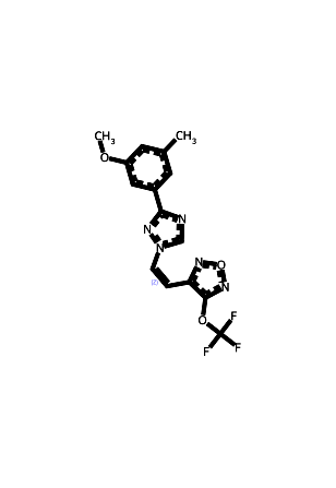 COc1cc(C)cc(-c2ncn(/C=C\c3nonc3OC(F)(F)F)n2)c1